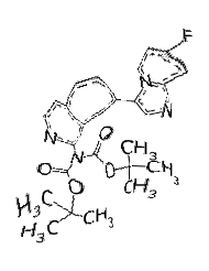 CC(C)(C)OC(=O)N(C(=O)OC(C)(C)C)c1nccc2ccc(-c3cnc4cc(F)ccn34)cc12